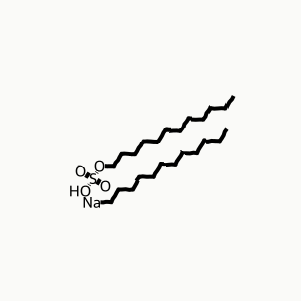 CCCCCCCCCCCCOS(=O)(=O)O.CCCCCCCCCCC[CH2][Na]